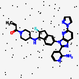 C=CC(=O)N1CCC(N[C@@H]2c3ccc(-n4c(-c5cccnc5N)nc5ccc(-n6cccn6)nc54)cc3C[C@@H]2F)CC1